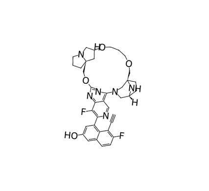 C#Cc1c(F)ccc2cc(O)cc(-c3ncc4c5nc(nc4c3F)OC[C@@]34CCCN3C[C@H](C4)OCCCOC[C@]34CC[C@H](CN5C3)N4)c12